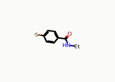 CCNC(=O)c1ccc([S])cc1